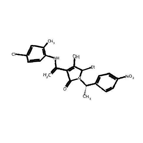 C=C(Nc1ccc(Cl)cc1C)C1=C(O)C(CC)N([C@@H](C)c2ccc([N+](=O)[O-])cc2)C1=O